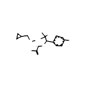 O=C(O)[C@H](CSCC1CC1)NC(c1ccc(F)cc1)C(F)(F)F